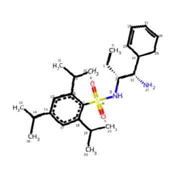 CC[C@@H](NS(=O)(=O)c1c(C(C)C)cc(C(C)C)cc1C(C)C)[C@@H](N)C1C=CC=CC1